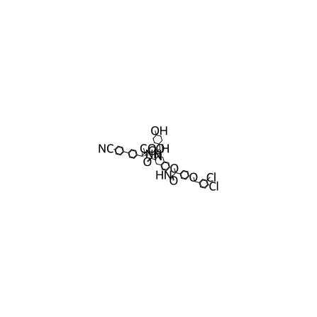 N#Cc1ccc(-c2ccc(C[C@H](NC(=O)C3Cc4cc5c(cc4CN3C(=O)OC3CCC(O)CC3)OC(c3ccc(OCc4ccc(Cl)c(Cl)c4)cc3)C(=O)N5)C(=O)O)cc2)cc1